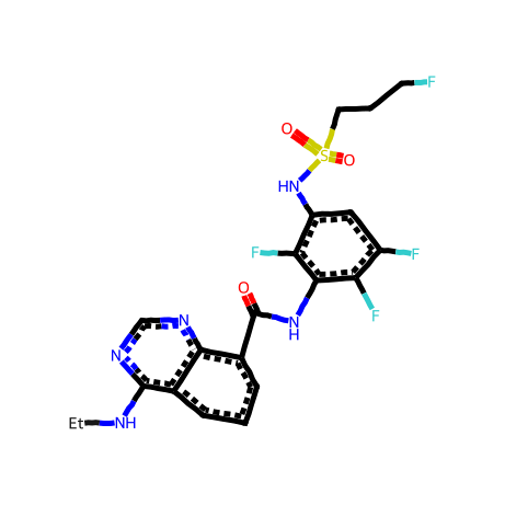 CCNc1ncnc2c(C(=O)Nc3c(F)c(F)cc(NS(=O)(=O)CCCF)c3F)cccc12